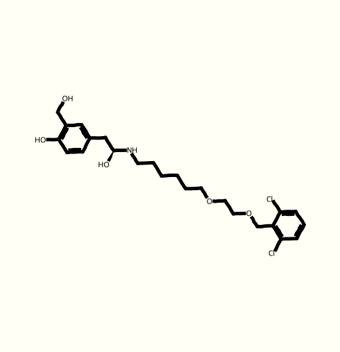 OCc1cc(C[C@H](O)NCCCCCCOCCOCc2c(Cl)cccc2Cl)ccc1O